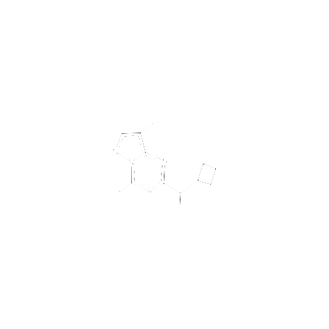 CCC(c1cc(Cl)n2ncc(Br)c2n1)C1CCC1